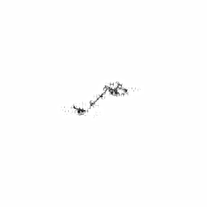 CCOC(=O)C(CCCCNC(=O)CCCCCNC(=O)CCc1ccc(O)c(CN(CCN(CC(=O)OC)Cc2cc(CCC(=O)OC)ccc2O)CC(=O)OC)c1)NC(=O)NC(CCC(=O)OC)C(=O)OC